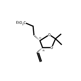 C=C[C@H]1OC(C)(C)O[C@H]1CCC(=O)OCC